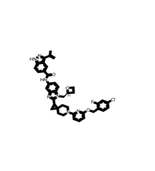 C=C(C)c1n[nH]c2ccc(C(=O)Nc3ccc4c(c3)nc(C3CC35CCN(c3cccc(OCc6ccc(Cl)cc6F)n3)CC5)n4C[C@@H]3CCO3)cc12